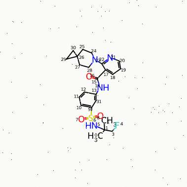 CC(C)(CF)NS(=O)(=O)c1cccc(NC(=O)c2cccnc2N2CCC3(CC2)CC3)c1